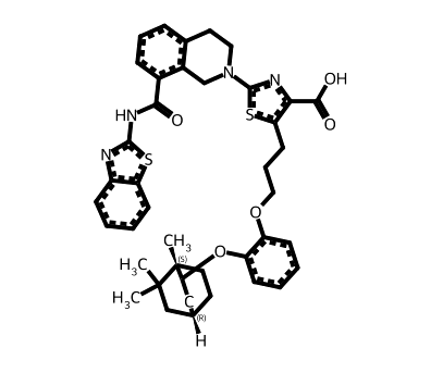 CC1(C)C[C@H]2CC[C@]1(C)C(Oc1ccccc1OCCCc1sc(N3CCc4cccc(C(=O)Nc5nc6ccccc6s5)c4C3)nc1C(=O)O)C2